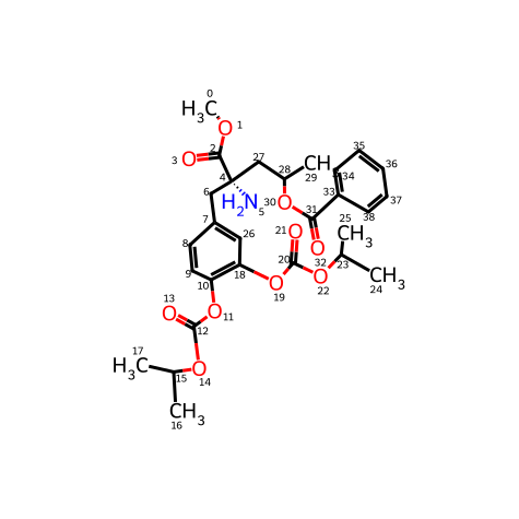 COC(=O)[C@](N)(Cc1ccc(OC(=O)OC(C)C)c(OC(=O)OC(C)C)c1)CC(C)OC(=O)c1ccccc1